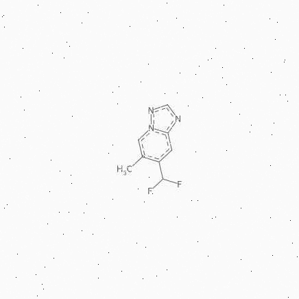 Cc1cn2ncnc2cc1C(F)F